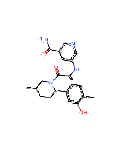 C=C(Nc1cncc(C(N)=O)c1)C(=O)N1C[C@H](C)CCC1c1ccc(C)c(O)c1